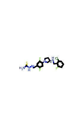 NC(=S)N/N=C/c1cc(F)c(N2CC[C@H](NCc3c(F)cccc3Cl)C2)cc1F